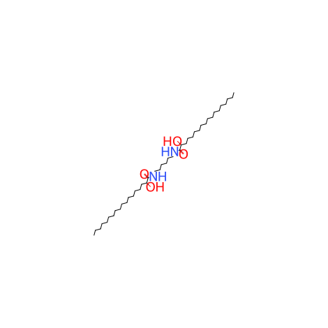 CCCCCCCCCCCCCCCCC(O)C(=O)NCCCCCCNC(=O)C(O)CCCCCCCCCCCCCCCC